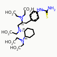 NC(=S)Nc1ccc(C[C@@H](CN(CC(=O)O)[C@@H]2CCCC[C@H]2N(CC(=O)O)CC(=O)O)N(CC(=O)O)CC(=O)O)cc1